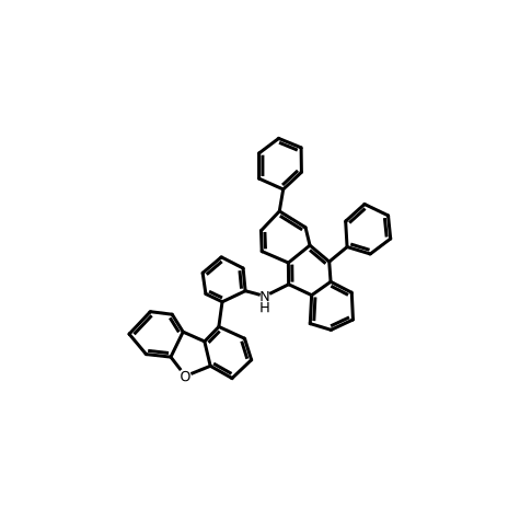 c1ccc(-c2ccc3c(Nc4ccccc4-c4cccc5oc6ccccc6c45)c4ccccc4c(-c4ccccc4)c3c2)cc1